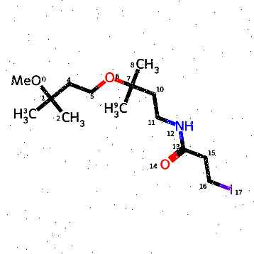 COC(C)(C)CCOC(C)(C)CCNC(=O)CCI